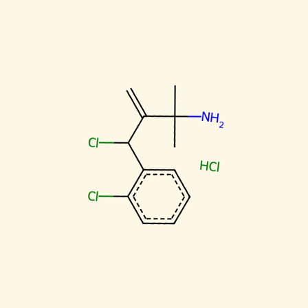 C=C(C(Cl)c1ccccc1Cl)C(C)(C)N.Cl